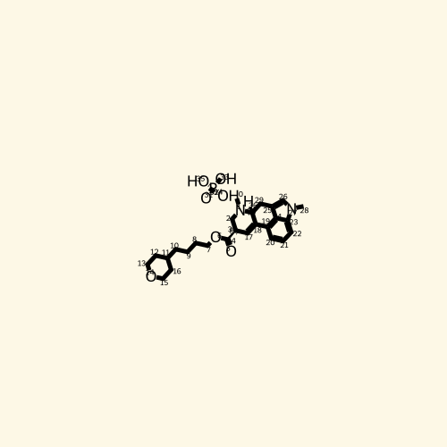 CN1C[C@H](C(=O)OCCCCC2CCOCC2)C=C2c3cccc4c3c(cn4C)C[C@H]21.O=P(O)(O)O